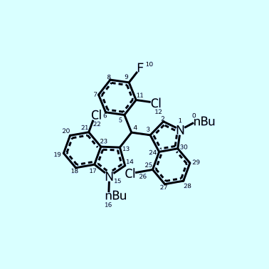 CCCCn1cc(C(c2cccc(F)c2Cl)c2cn(CCCC)c3cccc(Cl)c23)c2c(Cl)cccc21